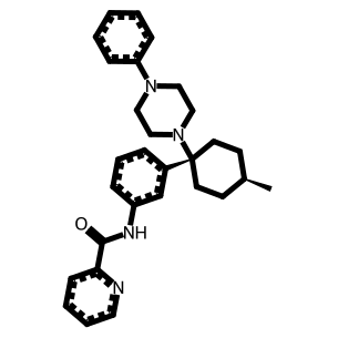 C[C@H]1CC[C@](c2cccc(NC(=O)c3ccccn3)c2)(N2CCN(c3ccccc3)CC2)CC1